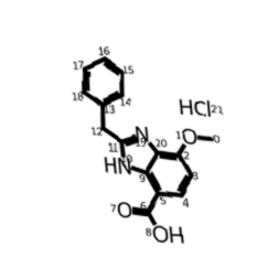 COc1ccc(C(=O)O)c2[nH]c(Cc3ccccc3)nc12.Cl